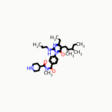 C=CCNc1nc(CC)c(C[C@@H](C)C(C)CC)c(=O)n1-c1ccc(C(=O)N(C)C(=O)C2CCNCC2)cc1